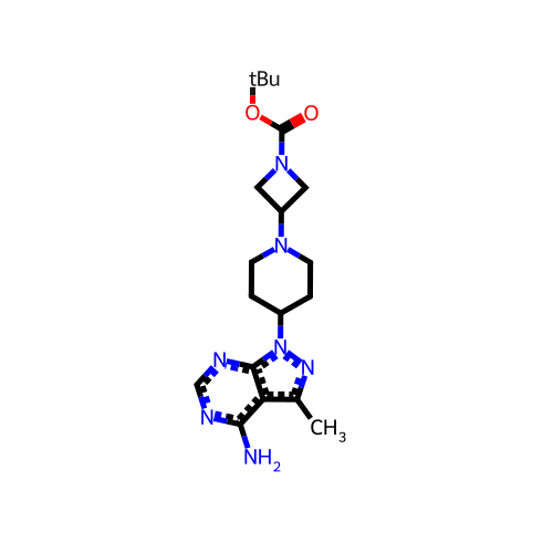 Cc1nn(C2CCN(C3CN(C(=O)OC(C)(C)C)C3)CC2)c2ncnc(N)c12